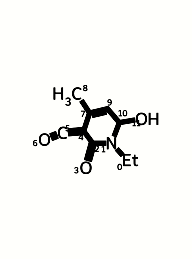 CCN1C(=O)C(=C=O)C(C)=CC1O